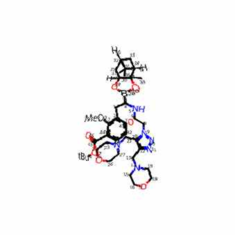 COc1c(CC(NC(=O)Cn2nnc(CN3CCOCC3)c2CN2CCOCC2)B2O[C@@H]3C[C@@H]4C[C@@H](C4(C)C)[C@]3(C)O2)cccc1C(=O)OC(C)(C)C